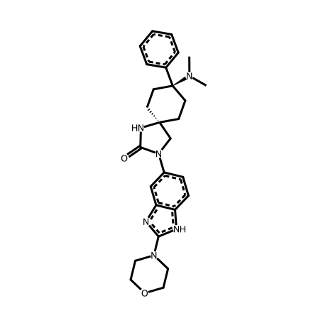 CN(C)[C@]1(c2ccccc2)CC[C@]2(CC1)CN(c1ccc3[nH]c(N4CCOCC4)nc3c1)C(=O)N2